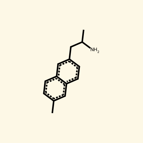 Cc1ccc2cc(CC(C)N)ccc2c1